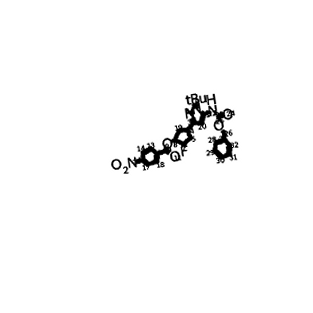 CC(C)(C)n1nc(C2CC(F)C(OC(=O)c3ccc([N+](=O)[O-])cc3)C2)cc1NC(=O)OCc1ccccc1